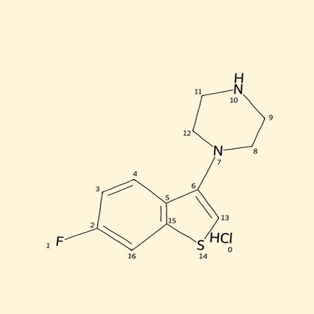 Cl.Fc1ccc2c(N3CCNCC3)csc2c1